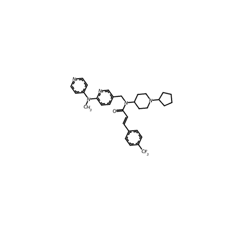 CN(c1ccncc1)c1ccc(CN(C(=O)/C=C/c2ccc(C(F)(F)F)cc2)C2CCN(C3CCCC3)CC2)cn1